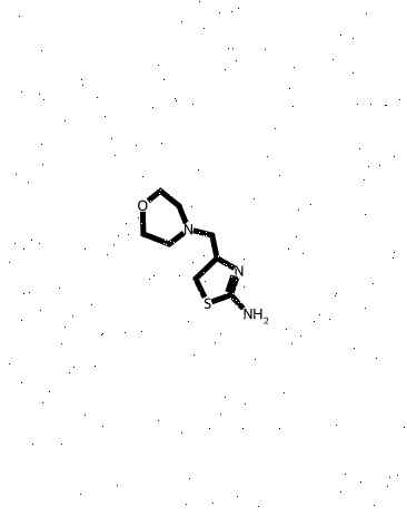 NC1=NC(CN2CCOCC2)CS1